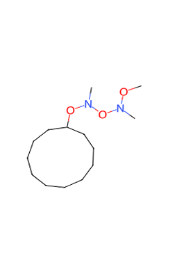 CON(C)ON(C)OC1CCCCCCCCCC1